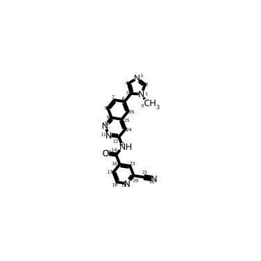 Cn1cncc1-c1ccc2nnc(NC(=O)c3ccnc(C#N)c3)cc2c1